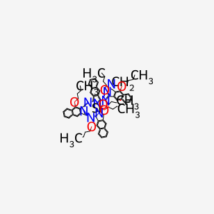 C=NC1=N/C(=N\c2c3c(OCCCC)c4ccccc4cc3c3n2[Si](OCCCC)(OCCCC)N2Cc4cc5ccccc5c(OCCCC)c4/C2=N/C2=NC(=N\3)/c3c2cc2ccccc2c3OCCCC)c2cc3ccccc3c(OCCCC)c21